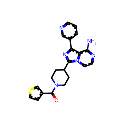 Nc1nccn2c(C3CCN(C(=O)c4ccsc4)CC3)nc(-c3cccnc3)c12